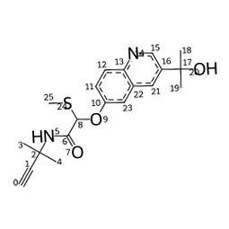 C#CC(C)(C)NC(=O)C(Oc1ccc2ncc(C(C)(C)O)cc2c1)SC